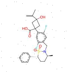 C=C(C)C1(O)CC(C(=O)O)(c2cc(F)c(CN3[C@@H](C)CC[C@H](c4ccccc4)S3(=O)=O)cc2F)C1